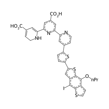 CCCOc1c2ccsc2c(I)c2cc(-c3ccc(-c4ccnc(-c5cc(C(=O)O)cc(C6=CC(C(=O)O)=CCN6)n5)c4)s3)sc12